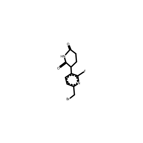 O=C1CCC(c2ccc(CBr)nc2F)C(=O)N1